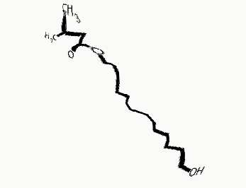 CC(C)=CC(=O)OCCCCCCCCCCCO